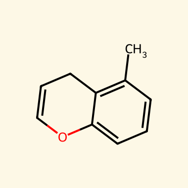 Cc1cccc2c1CC=CO2